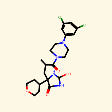 CC(CC1(C2CCOCC2)NC(O)NC1=O)C(=O)N1CCN(c2cc(Cl)cc(Cl)c2)CC1